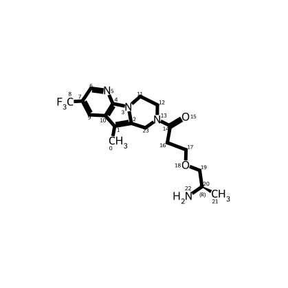 Cc1c2n(c3ncc(C(F)(F)F)cc13)CCN(C(=O)CCOC[C@@H](C)N)C2